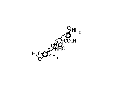 Cc1cc(SCC(=O)N[C@H]2C(=O)N3C(C(=O)O)=C(C[n+]4cccc(C(N)=O)c4)CS[C@H]23)c(C)cc1Cl